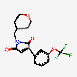 O=C1C=C(c2cccc(OC(F)(F)F)c2)C(=O)N1CC1CCOCC1